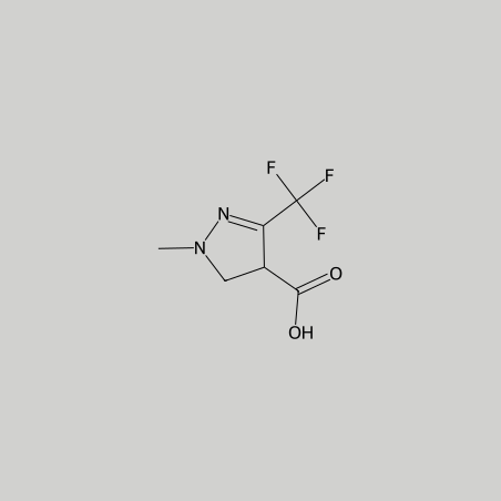 CN1CC(C(=O)O)C(C(F)(F)F)=N1